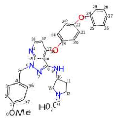 COc1ccc(Cn2nc(NC3CCN(C(=O)O)C3)c3c(Oc4ccc(Oc5ccccc5)cc4)ccnc32)cc1